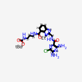 CCn1c(CNC(=O)c2nc(Cl)c(N)nc2N)nc2cccc(C(=O)NCCCNC(=O)OC(C)(C)C)c21